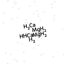 [CaH2].[CaH2].[HH].[MgH2].[MgH2]